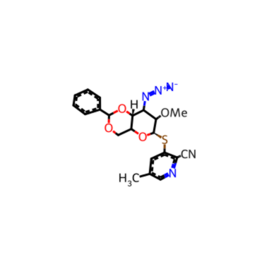 COC1C(N=[N+]=[N-])[C@H]2OC(c3ccccc3)OCC2O[C@@H]1Sc1cc(C)cnc1C#N